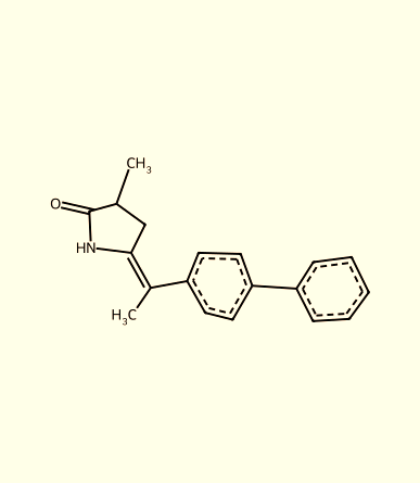 C/C(=C1/CC(C)C(=O)N1)c1ccc(-c2ccccc2)cc1